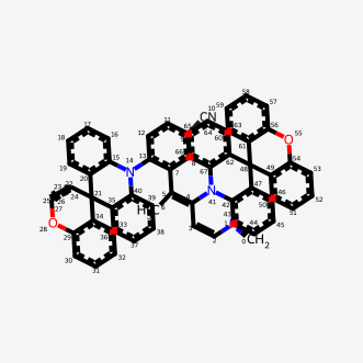 C=N/C=C\C(=C(/C)c1cc(C#N)ccc1N1c2ccccc2C2(c3ccccc3Oc3ccccc32)c2ccccc21)N1c2ccccc2C2(c3ccccc3Oc3ccccc32)c2ccccc21